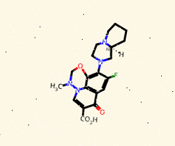 CN1COc2c(N3CCN4CCCC[C@H]4C3)c(F)cc3c(=O)c(C(=O)O)cn1c23